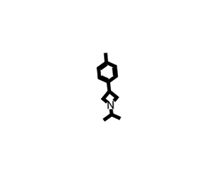 Cc1ccc(C2CN(C(C)C)C2)cc1